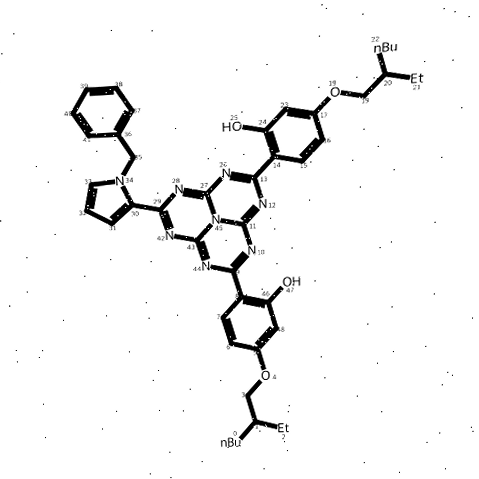 CCCCC(CC)COc1ccc(C2=NC3=NC(c4ccc(OCC(CC)CCCC)cc4O)=NC4=NC(c5cccn5Cc5ccccc5)=NC(=N2)N34)c(O)c1